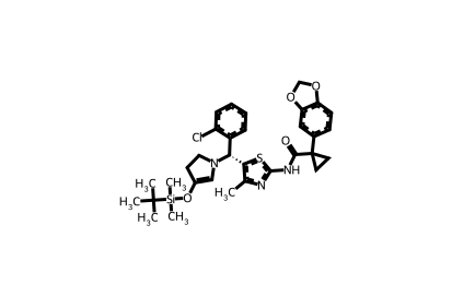 Cc1nc(NC(=O)C2(c3ccc4c(c3)OCO4)CC2)sc1[C@@H](c1ccccc1Cl)N1C=C(O[Si](C)(C)C(C)(C)C)CC1